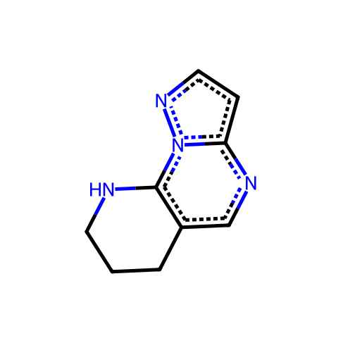 c1cc2ncc3c(n2n1)NCCC3